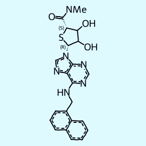 CNC(=O)[C@H]1S[C@@H](n2cnc3c(NCc4cccc5ccccc45)ncnc32)C(O)C1O